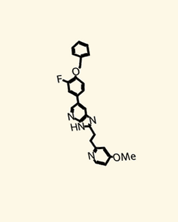 COc1ccnc(CCc2nc3cc(-c4ccc(OCc5ccccc5)c(F)c4)cnc3[nH]2)c1